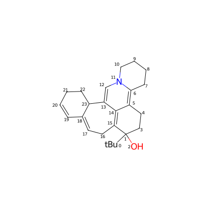 CC(C)(C)C1(O)CCC2=C3CCCCN3C=C3C2=C1CC=C1C=CCCC13